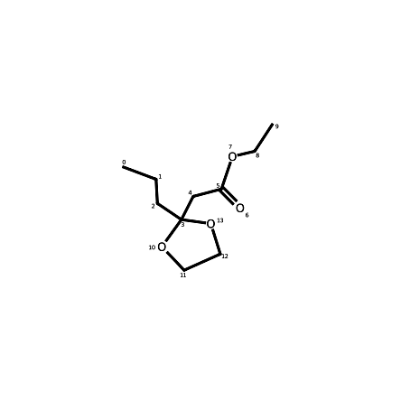 CCCC1(CC(=O)OCC)OCCO1